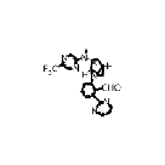 CN(c1cnc(C(F)(F)F)cn1)[C@@H]1C[C@@H]2C[C@@H]1N(c1cccc(-c3ncccn3)c1C=O)C2